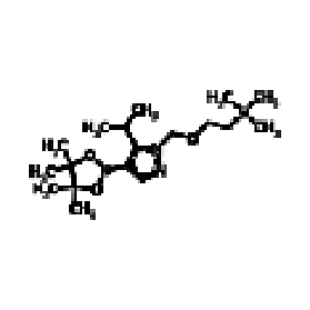 CC(C)c1c(B2OC(C)(C)C(C)(C)O2)cnn1COCC[Si](C)(C)C